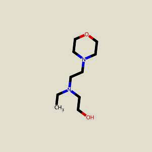 CCN(CCO)CCN1CCOCC1